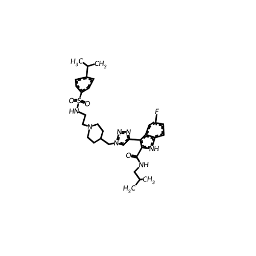 CC(C)CNC(=O)c1[nH]c2ccc(F)cc2c1-c1cn(CC2CCN(CCNS(=O)(=O)c3ccc(C(C)C)cc3)CC2)nn1